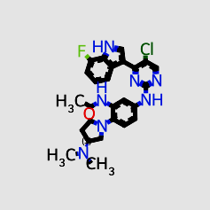 CC(=O)Nc1cc(Nc2ncc(Cl)c(-c3c[nH]c4c(F)cccc34)n2)ccc1N1CC[C@H](N(C)C)C1